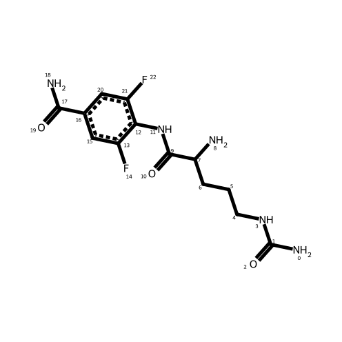 NC(=O)NCCCC(N)C(=O)Nc1c(F)cc(C(N)=O)cc1F